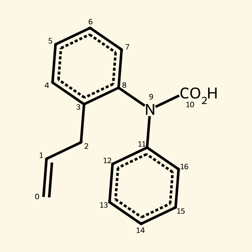 C=CCc1ccccc1N(C(=O)O)c1ccccc1